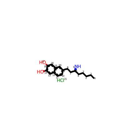 CCCCCC(=N)CCc1ccc2cc(O)c(O)cc2c1.Cl